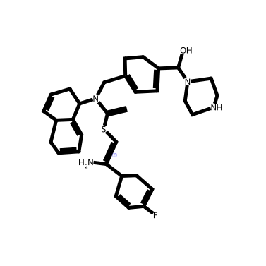 C=C(S/C=C(\N)C1C=CC(F)=CC1)N(CC1=CC=C(C(O)N2CCNCC2)CC1)C1CC=CC2CC=CC=C21